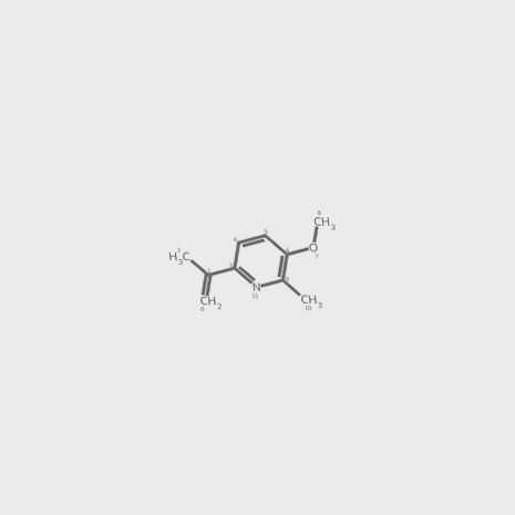 C=C(C)c1ccc(OC)c(C)n1